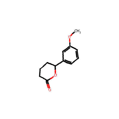 COc1cccc(C2CCCC(=O)O2)c1